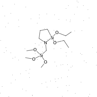 CCO[Si]1(OCC)CCCN1C[Si](OC)(OC)OC